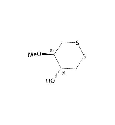 CO[C@H]1CSSC[C@@H]1O